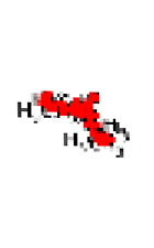 CC1(C)c2cc(-c3ccc4c(c3)Oc3cc(-c5ccc6c(c5)C(C)(C)c5cc7c(cc5-6)C(C)(C)c5ccc6ccccc6c5-7)ccc3N4c3c(-c4ccccc4)cc(-c4ccccc4)cc3-c3ccccc3)ccc2-c2cc3c(cc21)-c1c(ccc2ccccc12)C3(C)C